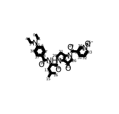 CCN(CC)c1ccc(C(=O)NC(CC(C)C)C(=O)N2CCC3C2C(=O)CN3C(=O)c2ccc[n+]([O-])c2)cc1